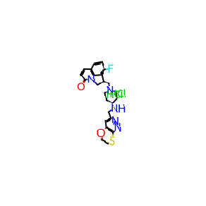 Cl.Cl.O=c1ccc2ccc(F)c3c2n1CC3CN1CCC(NCc2cc3c(nn2)SCCO3)CC1